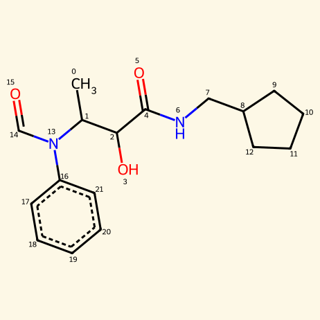 CC(C(O)C(=O)NCC1CCCC1)N(C=O)c1ccccc1